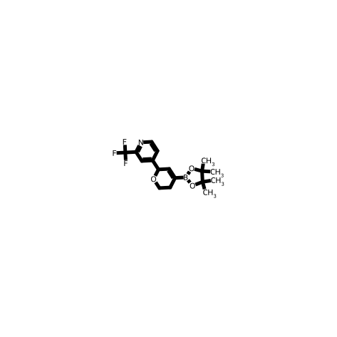 CC1(C)OB(C2=CC(c3ccnc(C(F)(F)F)c3)OCC2)OC1(C)C